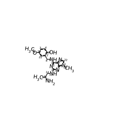 COc1ccc(O)c(CNc2nc(NCC(C)N)nc3c2ncn3C)c1